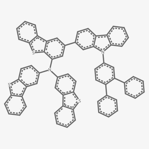 c1ccc(-c2ccc(-n3c4ccccc4c4ccc(-c5cc(N(c6ccc7sc8ccccc8c7c6)c6ccc7sc8ccccc8c7c6)c6sc7ccccc7c6c5)cc43)cc2-c2ccccc2)cc1